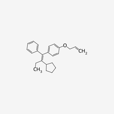 C=CCOc1ccc(C(=C(CC)C2CCCC2)c2ccccc2)cc1